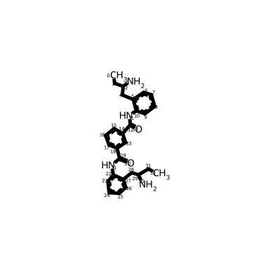 CCC(N)Cc1ccccc1NC(=O)c1cccc(C(=O)Nc2ccccc2CC(N)CC)c1